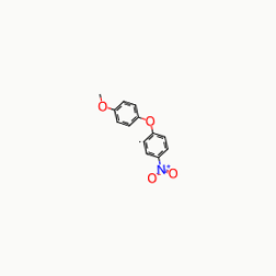 COc1ccc(Oc2[c]cc([N+](=O)[O-])cc2)cc1